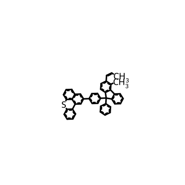 C/C=C\c1ccc2c(c1C)-c1ccccc1C2(c1ccccc1)c1ccc(-c2cc3c4c(cccc4c2)Sc2ccccc2-3)cc1